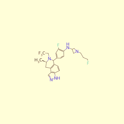 C[C@@H]1Cc2c(ccc3[nH]ncc23)C(c2ccc(NC3CN(CCCF)C3)c(F)c2)N1CC(F)(F)F